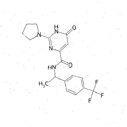 CC(NC(=O)c1cc(=O)[nH]c(N2CCCC2)n1)c1ccc(C(F)(F)F)cc1